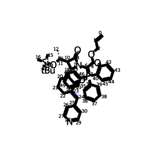 C=CCOC(=O)C(N1C(=O)C([C@@H](C)O[Si](C)(C)C(C)(C)C)C1[C@H]1CCC/C(=C\c2ccncc2)C1=O)=P(c1ccccc1)(c1ccccc1)c1ccccc1